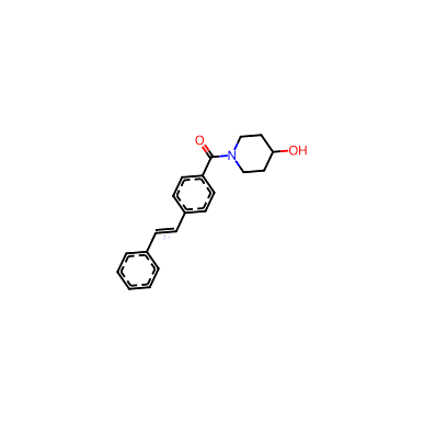 O=C(c1ccc(/C=C/c2ccccc2)cc1)N1CCC(O)CC1